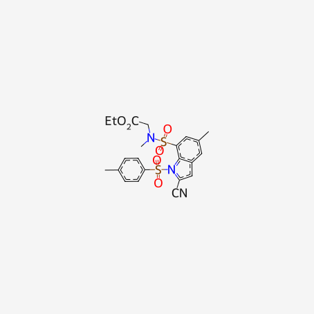 CCOC(=O)CN(C)S(=O)(=O)c1cc(C)cc2cc(C#N)n(S(=O)(=O)c3ccc(C)cc3)c12